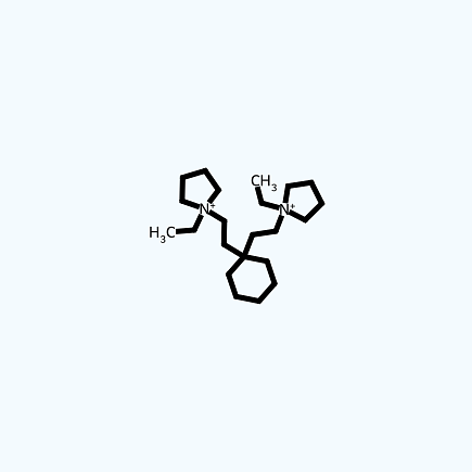 CC[N+]1(CCC2(CC[N+]3(CC)CCCC3)CCCCC2)CCCC1